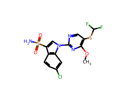 COc1nc(-n2cc(S(N)(=O)=O)c3ccc(Cl)cc32)ncc1SC(F)F